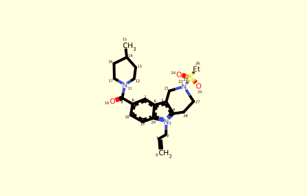 C=CCn1c2c(c3cc(C(=O)N4CCC(C)CC4)ccc31)CN(S(=O)(=O)CC)CC2